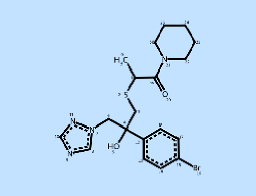 CC(SCC(O)(Cn1cncn1)c1ccc(Br)cc1)C(=O)N1CCCCC1